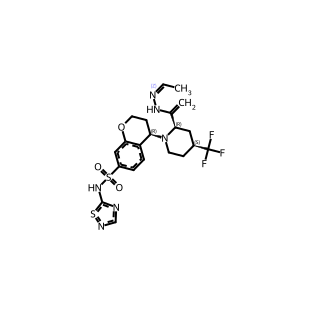 C=C(N/N=C\C)[C@H]1C[C@@H](C(F)(F)F)CCN1[C@@H]1CCOc2cc(S(=O)(=O)Nc3ncns3)ccc21